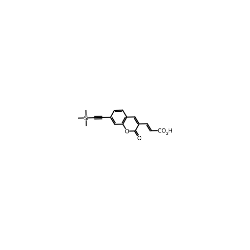 C[Si](C)(C)C#Cc1ccc2cc(C=CC(=O)O)c(=O)oc2c1